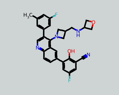 Cc1cc(F)cc(-c2cnc3ccc(-c4cc(F)cc(C#N)c4O)cc3c2N2CC(CNC3COC3)C2)c1